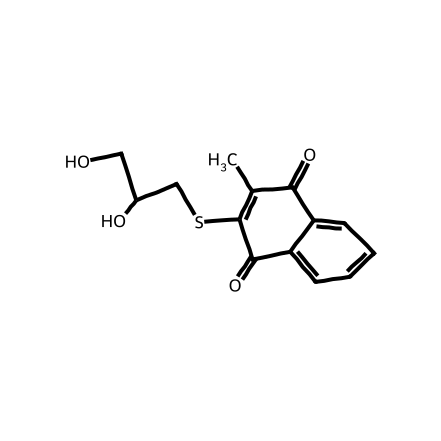 CC1=C(SCC(O)CO)C(=O)c2ccccc2C1=O